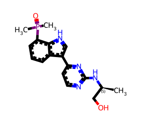 C[C@@H](CO)Nc1nccc(-c2c[nH]c3c(P(C)(C)=O)cccc23)n1